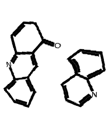 O=C1CC=Cc2nc3ccccc3cc21.c1ccc2ncccc2c1